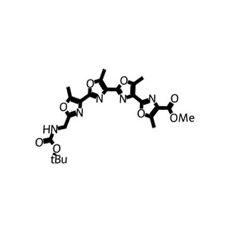 COC(=O)c1nc(-c2nc(-c3nc(-c4nc(CNC(=O)OC(C)(C)C)oc4C)oc3C)oc2C)oc1C